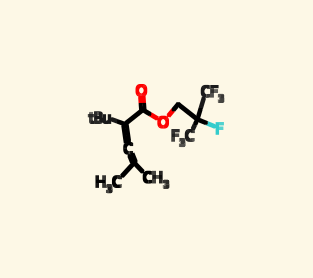 CC(C)=C=C(C(=O)OCC(F)(C(F)(F)F)C(F)(F)F)C(C)(C)C